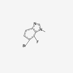 Cn1cnc2ccc(Br)c(F)c21